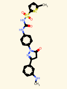 CNc1cccc(C2=NN(c3ccc(NC(=O)NS(=O)(=O)c4ccc(C)s4)cc3)C(=O)C2)c1